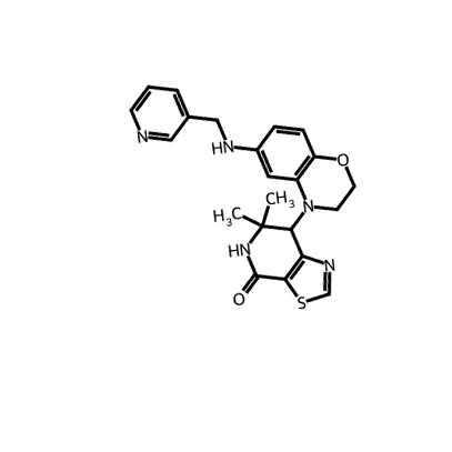 CC1(C)NC(=O)c2scnc2C1N1CCOc2ccc(NCc3cccnc3)cc21